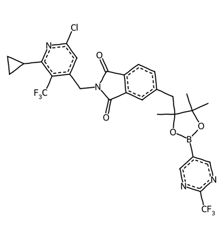 CC1(C)OB(c2cnc(C(F)(F)F)nc2)OC1(C)Cc1ccc2c(c1)C(=O)N(Cc1cc(Cl)nc(C3CC3)c1C(F)(F)F)C2=O